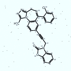 Cc1nnc2n1-c1ccc(C#CCn3c(=O)oc4ccccc43)cc1C(c1ccccc1Cl)=NC2